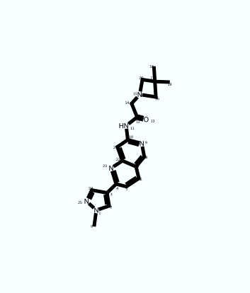 Cn1cc(-c2ccc3cnc(NC(=O)CN4CC(C)(C)C4)cc3n2)cn1